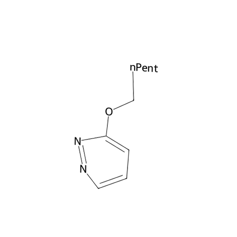 CCCCCCOc1cccnn1